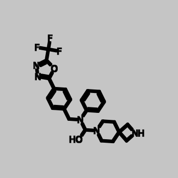 OC(N1CCC2(CC1)CNC2)N(Cc1ccc(-c2nnc(C(F)(F)F)o2)cc1)c1ccccc1